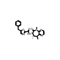 CC1c2nccnc2N(C)C(=O)[C@@H](NC(=O)c2ncc(Cc3ccccc3)o2)[C@H]1C